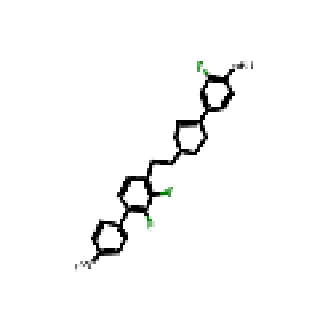 CCCCc1ccc(C2=CCC(CCc3ccc(-c4ccc(CCC)cc4)c(F)c3F)CC2)cc1F